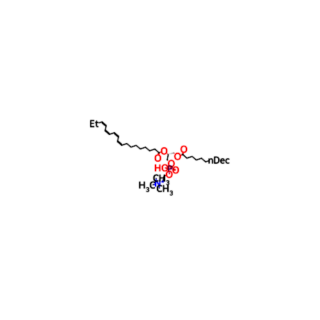 CC\C=C/C=C\C=C/C=C\CCCCCCCC(=O)O[C@H](COC(=O)CCCCCCCCCCCCCCC)COP(=O)(O)OCC[N+](C)(C)C